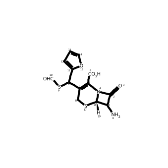 NC1C(=O)N2C(C(=O)O)=C(C(SC=O)c3ccco3)CS[C@@H]12